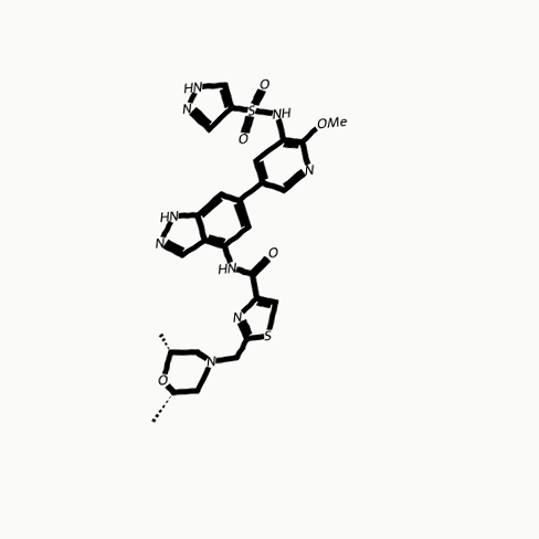 COc1ncc(-c2cc(NC(=O)c3csc(CN4C[C@@H](C)O[C@@H](C)C4)n3)c3cn[nH]c3c2)cc1NS(=O)(=O)c1cn[nH]c1